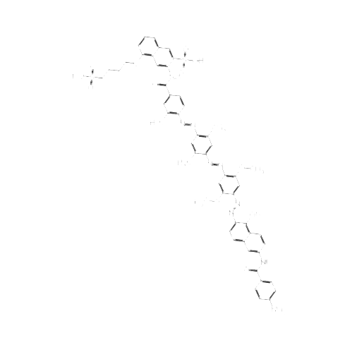 COc1cc(N=Nc2ccc3cc(NC(=O)c4ccc(N)cc4)ccc3c2O)c(OC)cc1N=Nc1cc(C)c(N=Nc2ccc(C(=O)Nc3cc4c(OCCCCS(=O)(=O)O)cccc4cc3S(=O)(=O)O)cc2C)cc1C